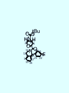 CC(C)(C)OC(=O)N1[C@@H]2C[C@H](C(=O)N3CCc4ccccc4[C@@H]3c3ccc(F)cc3)OC[C@@H]21